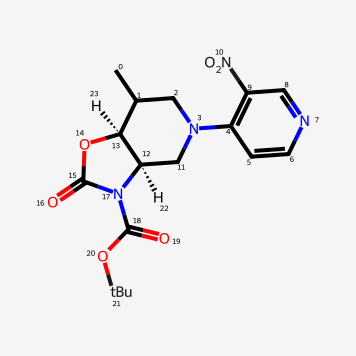 CC1CN(c2ccncc2[N+](=O)[O-])C[C@@H]2[C@H]1OC(=O)N2C(=O)OC(C)(C)C